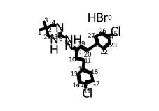 Br.CC1(C)CN=C(NN=C(C=Cc2ccc(Cl)cc2)C=Cc2ccc(Cl)cc2)NC1